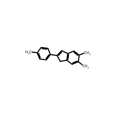 Cc1ccc(C2=Cc3cc(C)c(C)cc3C2)cc1